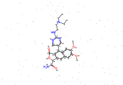 CCN(CC)CCNc1ncc(-c2c3c(cc4cc(OC)c(OC)cc24)C(C(N)=O)OC3=O)cn1